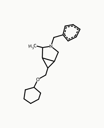 CC1C2C(COC3CCCCC3)C2CN1Cc1ccccc1